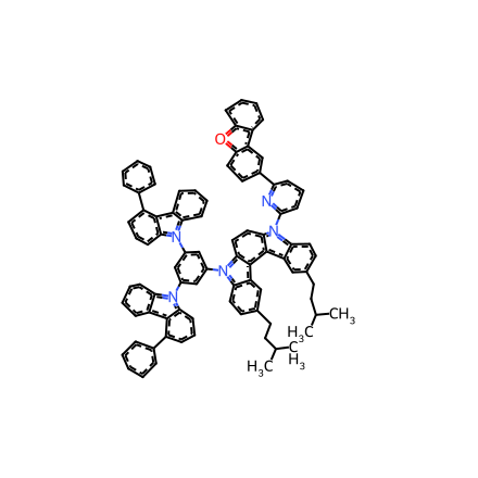 CC(C)CCc1ccc2c(c1)c1c3c4cc(CCC(C)C)ccc4n(-c4cccc(-c5ccc6oc7ccccc7c6c5)n4)c3ccc1n2-c1cc(-n2c3ccccc3c3c(-c4ccccc4)cccc32)cc(-n2c3ccccc3c3c(-c4ccccc4)cccc32)c1